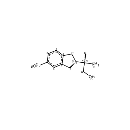 CCCCCCCCc1ccc2c(c1)C[C@H]([C@](C)(N)CO)C2